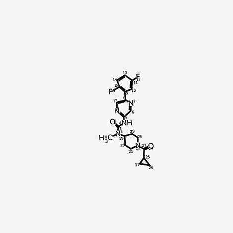 CN(C(=O)Nc1cnc(-c2cc(F)ccc2F)cn1)C1CCN(C(=O)C2CC2)CC1